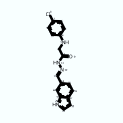 O=C(CNc1ccc(Cl)cc1)NN=Cc1ccc2cc[nH]c2c1